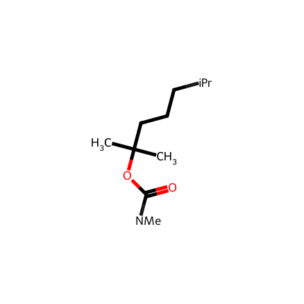 CNC(=O)OC(C)(C)CCCC(C)C